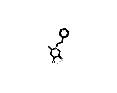 CCOC(=O)C1CC(C)N(CCc2ccccc2)CC1=O